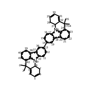 CC1(C)C2=CC=CCC2n2c3ccc(-c4ccc5c(c4)c4cccc6c4n5C4CC=CC=C4C6(C)C)cc3c3cccc1c32